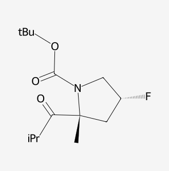 CC(C)C(=O)[C@@]1(C)C[C@@H](F)CN1C(=O)OC(C)(C)C